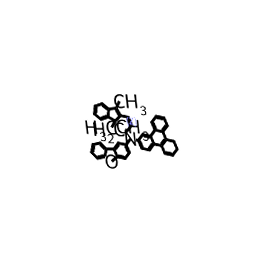 C=C(/C=C\C1=C(C)c2ccccc2C1(C)C)N(c1ccc2oc3ccccc3c2c1)c1ccc2c3c(c4ccccc4c2c1)CCC=C3